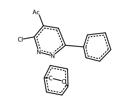 CC(=O)c1cc(-c2ccccc2)nnc1Cl.c1cc2ccc1CO2